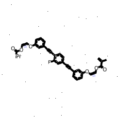 C=C(C)C(=O)O/C=C\Oc1cccc(C#Cc2ccc(C#Cc3cccc(O/C=C\OC(=O)C(C)C)c3)c(F)c2)c1